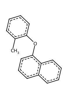 Cc1ccccc1Oc1cccc2ccccc12